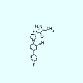 CC=C(N)C(=O)N[C@H]1CCN(c2ccc(-c3ccc(F)cc3)cc2C#N)C1